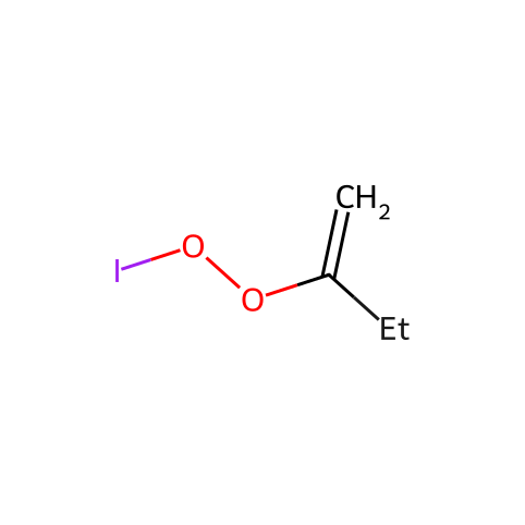 C=C(CC)OOI